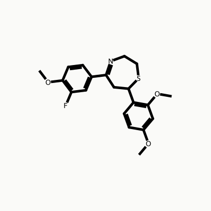 COc1ccc(C2CC(c3ccc(OC)c(F)c3)=NCCS2)c(OC)c1